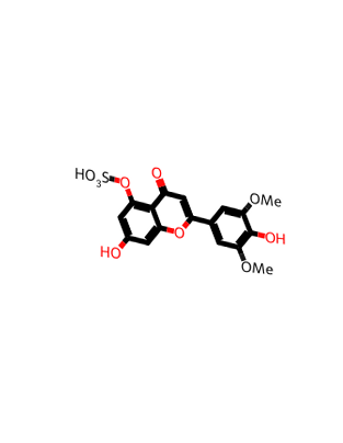 COc1cc(-c2cc(=O)c3c(OS(=O)(=O)O)cc(O)cc3o2)cc(OC)c1O